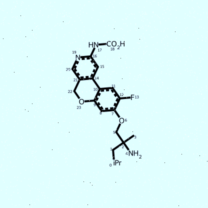 CC(C)CC(C)(N)COc1cc2c(cc1F)-c1cc(NC(=O)O)ncc1CO2